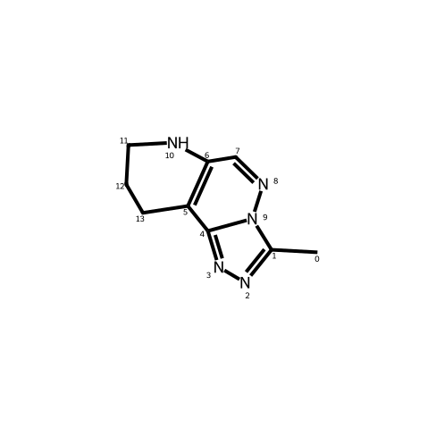 Cc1nnc2c3c(cnn12)NCCC3